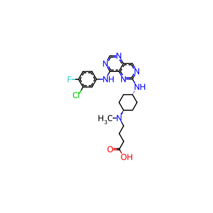 CN(CCCC(=O)O)[C@H]1CC[C@H](Nc2ncc3ncnc(Nc4ccc(F)c(Cl)c4)c3n2)CC1